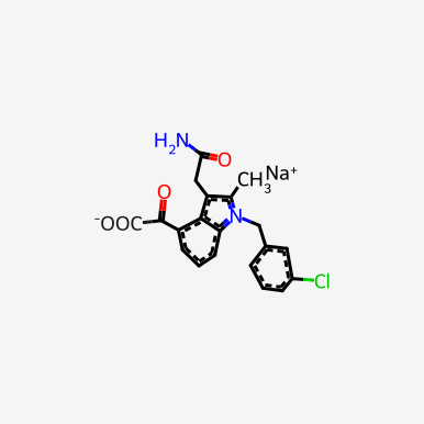 Cc1c(CC(N)=O)c2c(C(=O)C(=O)[O-])cccc2n1Cc1cccc(Cl)c1.[Na+]